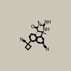 CN1C(=N)N[C@](C)(c2cccc(C#N)c2)[C@H](c2ccc(C3(C#N)CCC3)cc2)C1=O